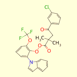 CC(C)(CC(=O)c1cccc(Cl)c1)C(=O)OOc1c(OC(F)(F)F)cccc1-n1ccc2ccccc21